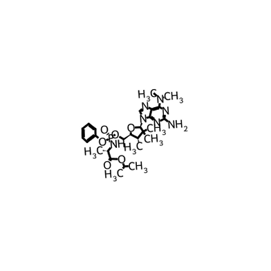 CC(C)OC(=O)[C@H](C)N[P@](=O)(OC[C@H]1O[C@@H](n2cnc3c(N(C)C)nc(N)nc32)C(C)(C)[C@@H]1C)Oc1ccccc1